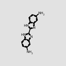 Nc1ccc2[nH]c(-c3nc4cc(N)ccc4[nH]3)nc2c1